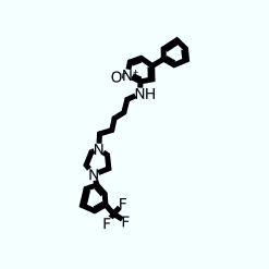 [O-][n+]1ccc(-c2ccccc2)cc1NCCCCCN1CCN(c2cccc(C(F)(F)F)c2)CC1